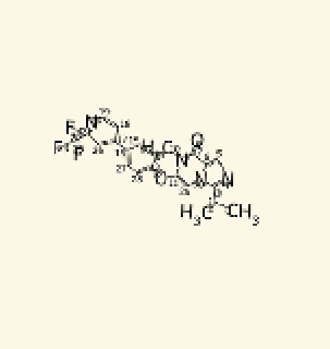 CC(C)c1ncc2c(=O)n(C)c(Oc3ccc(-c4ccnc(C(F)(F)F)c4)cc3)cn12